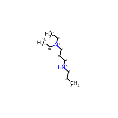 [CH2]CCNCCCN(CC)CC